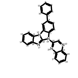 c1ccc(-c2ccc3c(c2)n2c4ccccc4nc2n3-c2cnc3ccccc3n2)cc1